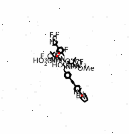 CCN1C2CCC1CN(c1ccc(C#Cc3ccc(CC(NC(=O)C(NC(=O)OC)C(C)(C)C(F)(F)F)C(O)CN(Cc4c(F)cc(-c5cnn(C(F)F)c5)cc4F)NC(=O)C(NC(=O)O)C(C)(C)C(F)(F)F)cc3)cn1)C2